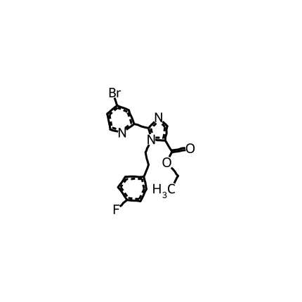 CCOC(=O)c1cnc(-c2cc(Br)ccn2)n1CCc1ccc(F)cc1